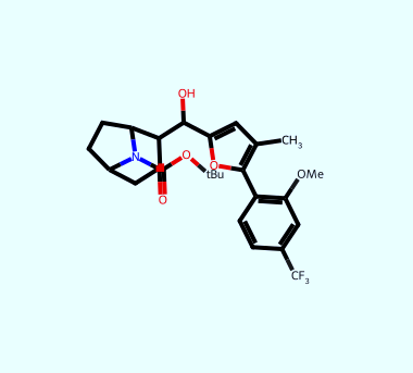 COc1cc(C(F)(F)F)ccc1-c1oc(C(O)C2CCC3CCC2N3C(=O)OC(C)(C)C)cc1C